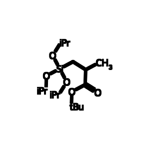 CC(C)O[Si](CC(C)C(=O)OC(C)(C)C)(OC(C)C)OC(C)C